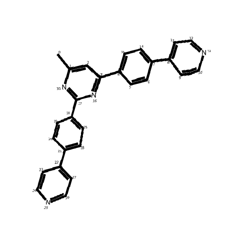 Cc1cc(-c2ccc(-c3ccncc3)cc2)nc(-c2ccc(-c3ccncc3)cc2)n1